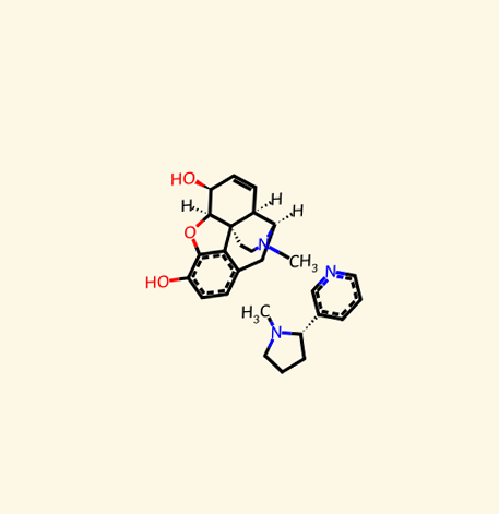 CN1CCC[C@H]1c1cccnc1.CN1CC[C@]23c4c5ccc(O)c4O[C@H]2[C@@H](O)C=C[C@H]3[C@H]1C5